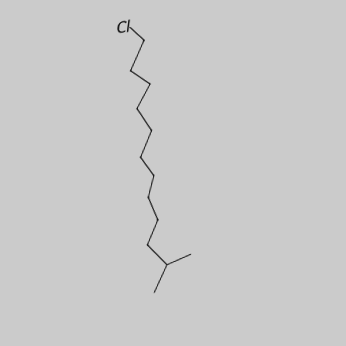 CC(C)CCCCCCCCCCCl